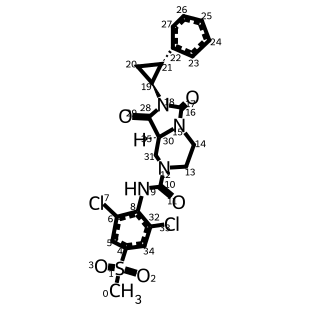 CS(=O)(=O)c1cc(Cl)c(NC(=O)N2CCN3C(=O)N([C@H]4C[C@@H]4c4ccccc4)C(=O)[C@@H]3C2)c(Cl)c1